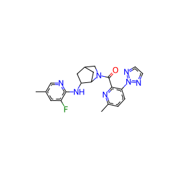 Cc1cnc(NC2CC3CC2N(C(=O)c2nc(C)ccc2-n2nccn2)C3)c(F)c1